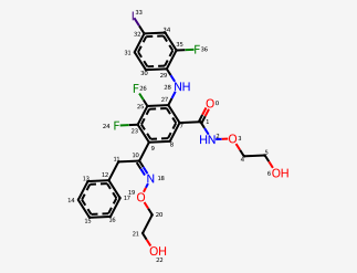 O=C(NOCCO)c1cc(C(Cc2ccccc2)=NOCCO)c(F)c(F)c1Nc1ccc(I)cc1F